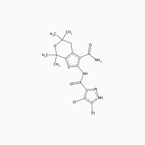 CCc1[nH]nc(C(=O)Nc2sc3c(c2C(N)=O)CC(C)(C)OC3(C)C)c1Cl